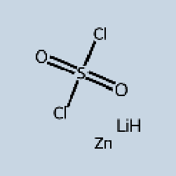 O=S(=O)(Cl)Cl.[LiH].[Zn]